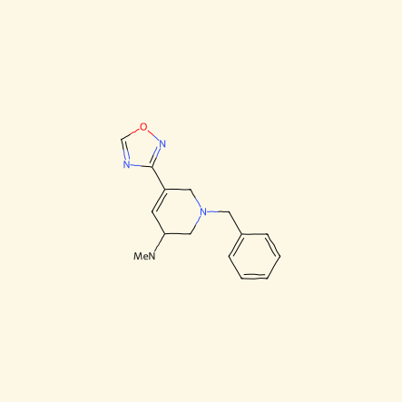 CNC1C=C(c2ncon2)CN(Cc2ccccc2)C1